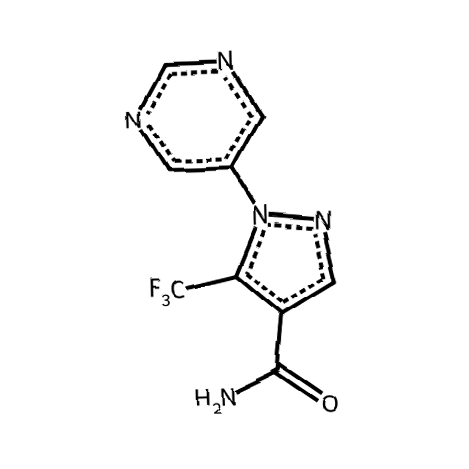 NC(=O)c1cnn(-c2cncnc2)c1C(F)(F)F